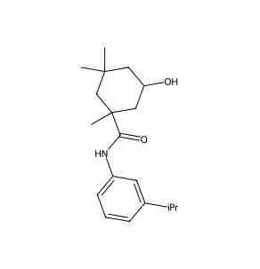 CC(C)c1cccc(NC(=O)C2(C)CC(O)CC(C)(C)C2)c1